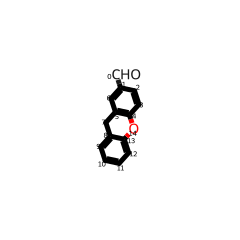 O=Cc1ccc2c(c1)Cc1ccccc1O2